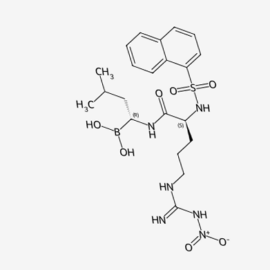 CC(C)C[C@H](NC(=O)[C@H](CCCNC(=N)N[N+](=O)[O-])NS(=O)(=O)c1cccc2ccccc12)B(O)O